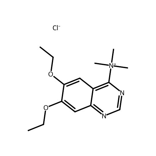 CCOc1cc2ncnc([N+](C)(C)C)c2cc1OCC.[Cl-]